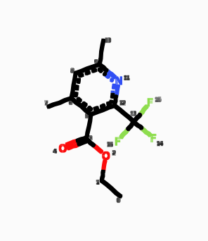 CCOC(=O)c1c(C)cc(C)nc1C(F)(F)F